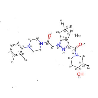 Cc1cccc(N2CCN(C(=O)Cn3nc(C(=O)N4CC[C@@H](O)[C@H](C)C4)c4c3C[C@H]3C[C@@H]43)CC2)c1C